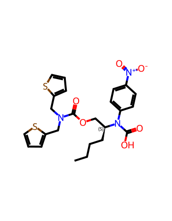 CCCC[C@@H](COC(=O)N(Cc1cccs1)Cc1cccs1)N(C(=O)O)c1ccc([N+](=O)[O-])cc1